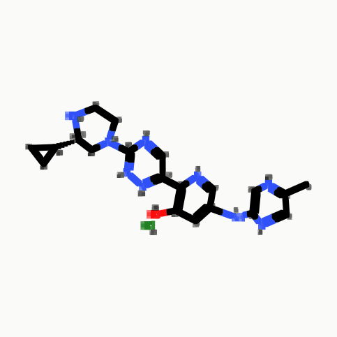 Cc1cnc(Nc2cnc(-c3cnc(N4CCN[C@@H](C5CC5)C4)nn3)c(O)c2)cn1.Cl